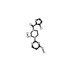 CCOc1ccnc(N2CCN(C(=O)c3sccc3Cl)CC2)n1.OCl